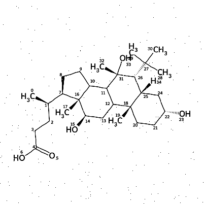 C[C@H](CCC(=O)O)[C@H]1CCC2C3C(C[C@@H](O)[C@@]21C)[C@@]1(C)CC[C@@H](O)C[C@H]1[C@@H](C(C)(C)C)[C@@]3(C)O